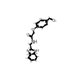 O=Cc1ccc(OCC(=O)NCc2nc3ccccc3[nH]2)cc1